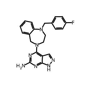 Nc1nc(N2CCN(Cc3ccc(F)cc3)c3ccccc3C2)c2cn[nH]c2n1